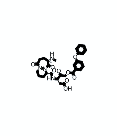 CN[C@H]1CCC(=O)N2CCC[C@@H](C(=O)N[C@@H](CC(=O)O)C(=O)COC(=O)c3cccc(Oc4ccccc4)c3)N2C1=O